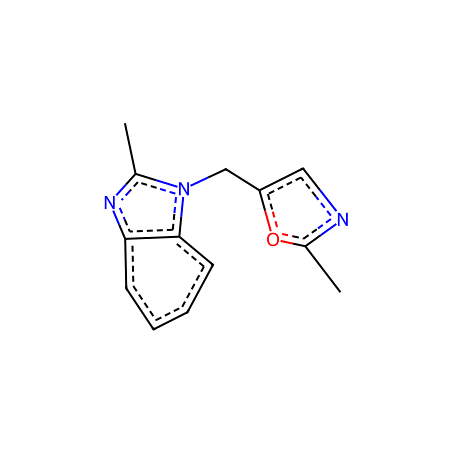 Cc1ncc(Cn2c(C)nc3ccccc32)o1